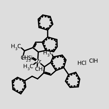 Cc1ccc(-c2ccccc2)c2c1[CH]([Zr]([CH3])([CH3])(=[SiH2])[CH]1C(C(C)C)=Cc3c(-c4ccccc4)cccc31)C(CCc1ccccc1)=C2.Cl.Cl